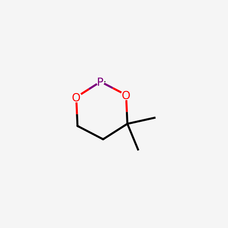 CC1(C)CCO[P]O1